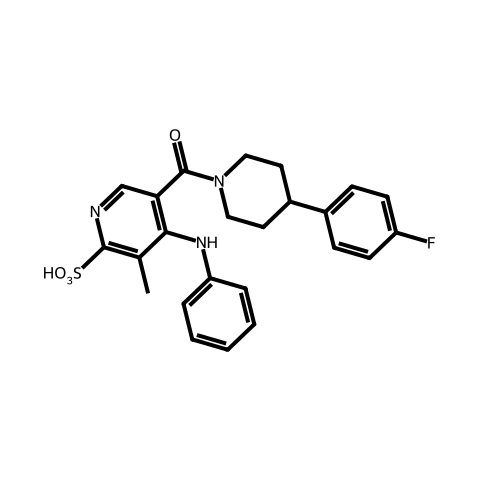 Cc1c(S(=O)(=O)O)ncc(C(=O)N2CCC(c3ccc(F)cc3)CC2)c1Nc1ccccc1